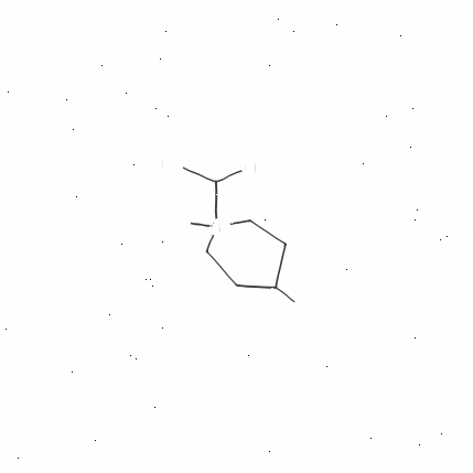 CC(C)[N+]1(C)CCC(O)CC1